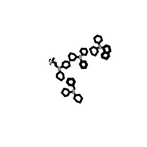 C[Si](C)(C)/C=C/B(C1CCCCC1)C1CCCCC1.c1ccc(B(C2CCCCC2)C2CCCCC2)cc1.c1ccc(CB(C2CCCCC2)C2CCCCC2)cc1.c1ccc2c(B(C3CCCCC3)C3CCCCC3)cccc2c1